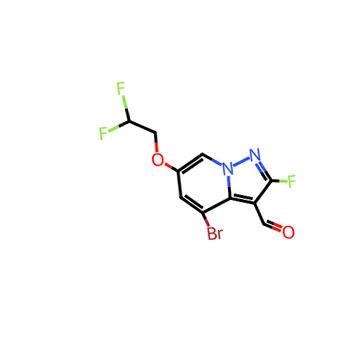 O=Cc1c(F)nn2cc(OCC(F)F)cc(Br)c12